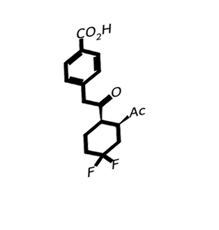 CC(=O)[C@H]1CC(F)(F)CC[C@H]1C(=O)Cc1ccc(C(=O)O)cc1